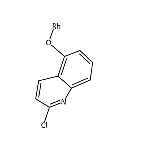 Clc1ccc2c([O][Rh])cccc2n1